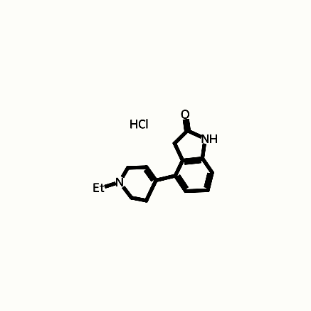 CCN1CC=C(c2cccc3c2CC(=O)N3)CC1.Cl